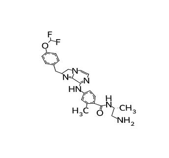 Cc1cc(NC2=NC=CN3CC(Cc4ccc(OC(F)F)cc4)N=C23)ccc1C(=O)N[C@H](C)CN